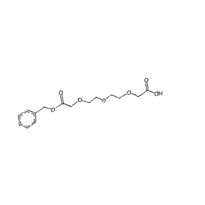 O=C(O)COCCOCCOCC(=O)OCc1ccccc1